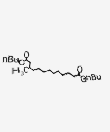 CCCCOC(=O)CCCCCCCCCC(C)CC(=O)OCCCC